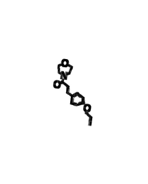 C=CCOc1ccc(/C=C/C(=O)N2CCOCC2)cc1